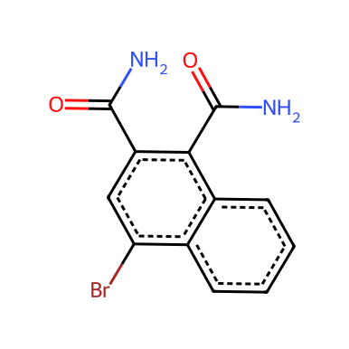 NC(=O)c1cc(Br)c2ccccc2c1C(N)=O